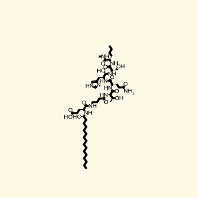 CCCCCCCCCCCCCCC[C@H](O)N[C@@H](CCC(=O)O)C(=O)NCCCC(=O)N[C@H](C(=O)N[C@@H](CCC(N)=O)C(=O)N[C@@H](Cc1c[nH]cn1)[C@H](O)N[C@@H](CO)C(=O)N[C@@H](CCCC)C(=O)NC)[C@H](C)O